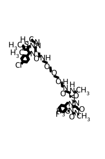 CC(=O)N[C@@H](CSc1nc2c(=O)n(C)c(=O)n(C)c2n1Cc1ccc(F)cc1)C(=O)NCCOCCOCCOCCNC(=O)C[C@@H]1N=C(c2ccc(Cl)cc2)c2c(sc(C)c2C)-n2c(C)nnc21